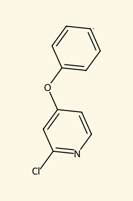 Clc1cc(Oc2cc[c]cc2)ccn1